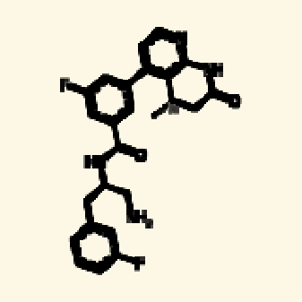 C[C@H]1CC(=O)Nc2nccc(-c3cc(F)cc(C(=O)NC(CN)Cc4cccc(F)c4)c3)c21